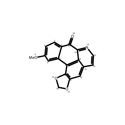 COc1ccc2c(c1)-c1c3c(cc4ccnc(c14)C2=O)OCO3